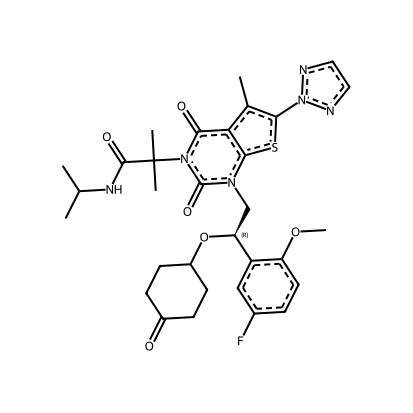 COc1ccc(F)cc1[C@H](Cn1c(=O)n(C(C)(C)C(=O)NC(C)C)c(=O)c2c(C)c(-n3nccn3)sc21)OC1CCC(=O)CC1